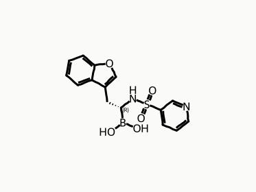 O=S(=O)(N[C@@H](Cc1coc2ccccc12)B(O)O)c1cccnc1